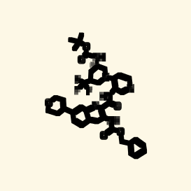 CC(C)(C)OC(=O)N[C@H]1CC(C(F)(F)F)CN(c2ccncc2NC(=O)c2nc3cc(C4=CCOCC4)ccc3cc2NC(=O)OCc2ccccc2)C1